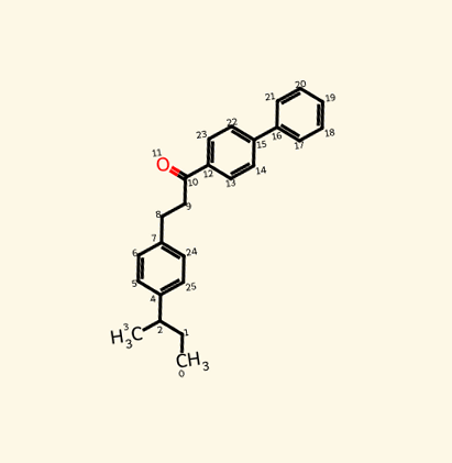 CCC(C)c1ccc(CCC(=O)c2ccc(-c3ccccc3)cc2)cc1